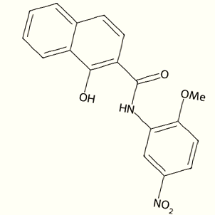 COc1ccc([N+](=O)[O-])cc1NC(=O)c1ccc2ccccc2c1O